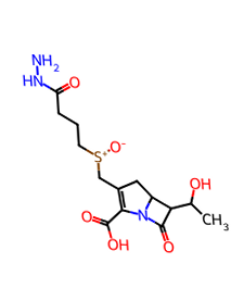 CC(O)C1C(=O)N2C(C(=O)O)=C(C[S+]([O-])CCCC(=O)NN)CC12